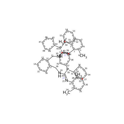 Cc1cccc(C)c1/N=C(/NCc1ccccc1CN/C(=N/c1c(C)cccc1C)P(c1ccccc1)c1ccccc1)P(c1ccccc1)c1ccccc1